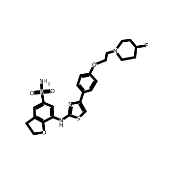 NS(=O)(=O)c1cc2c(c(Nc3nc(-c4ccc(OCCN5CCC(F)CC5)cc4)cs3)c1)OCC2